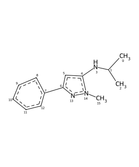 CC(C)Nc1cc(-c2ccccc2)nn1C